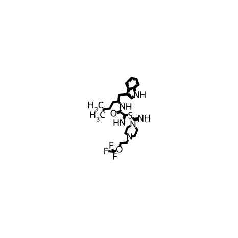 CC(C)CCC(Cc1c[nH]c2ccccc12)NC(=O)C(=N)SC(=N)N1CCN(CCOC(F)(F)F)CC1